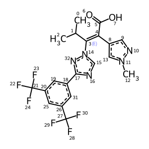 CC(C)/C(=C(\C(=O)O)c1cnn(C)c1)n1cnc(-c2cc(C(F)(F)F)cc(C(F)(F)F)c2)n1